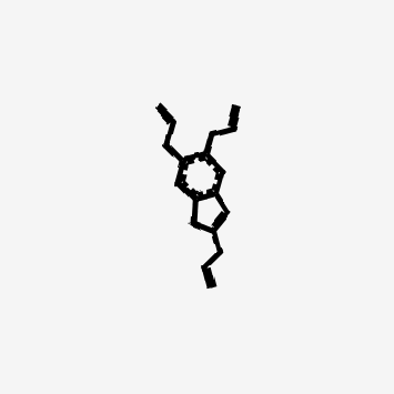 C=CCC1=Cc2cc(CC=C)c(CC=C)cc2[CH]1